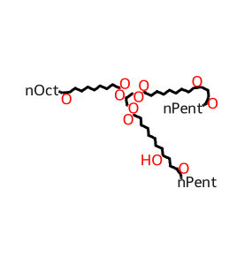 CCCCCCCCC1OC1CCCCCCCC(=O)OC(COC(=O)CCCCCCCC(O)CCC1OC1CCCCC)COC(=O)CCCCCCCC1OC1CC1OC1CCCCC